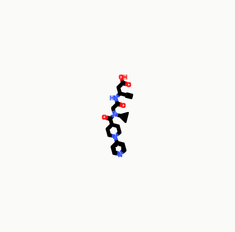 C#CC(CC(=O)O)NC(=O)CN(C(=O)C1CCN(c2ccncc2)CC1)C1CC1